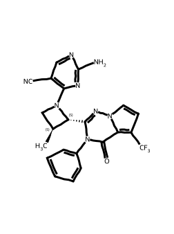 C[C@H]1CN(c2nc(N)ncc2C#N)[C@@H]1c1nn2ccc(C(F)(F)F)c2c(=O)n1-c1ccccc1